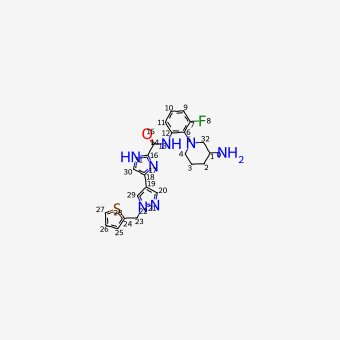 NC1CCCN(c2c(F)cccc2NC(=O)c2nc(-c3cnn(Cc4cccs4)c3)c[nH]2)C1